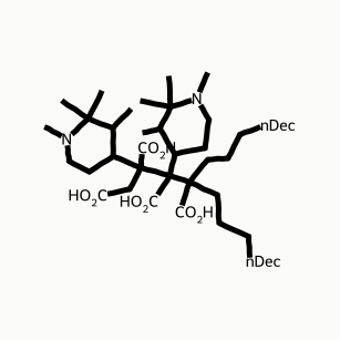 CCCCCCCCCCCCCC(CCCCCCCCCCCCC)(C(=O)O)C(C(=O)O)(C1CCN(C)C(C)(C)C1C)C(CC(=O)O)(C(=O)O)C1CCN(C)C(C)(C)C1C